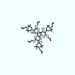 C=CCOC(=O)C(Nc1nc(NC(C(=O)OCC=C)C2CC(C)(C)N(CC=C)C(C)(C)C2)nc(NC(C(=O)OCC=C)C2CC(C)(C)N(CC=C)C(C)(C)C2)n1)C1CC(C)(C)N(CC=C)C(C)(C)C1